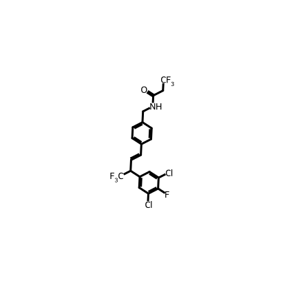 O=C(CC(F)(F)F)NCc1ccc(/C=C/C(c2cc(Cl)c(F)c(Cl)c2)C(F)(F)F)cc1